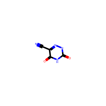 N#CC1=N[N]C(=O)NC1=O